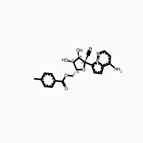 Cc1ccc(C(=O)OC[C@H]2O[C@@](C#N)(c3ccc4c(N)ccnn34)[C@H](O)[C@@H]2O)cc1